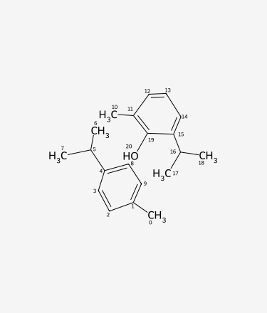 Cc1ccc(C(C)C)cc1.Cc1cccc(C(C)C)c1O